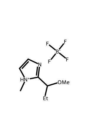 CCC(OC)C1=NC=C[NH+]1C.F[B-](F)(F)F